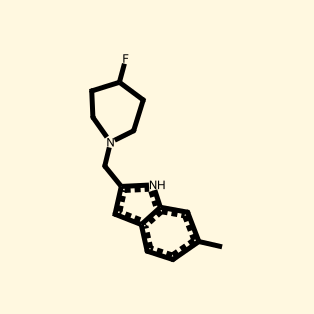 Cc1ccc2cc(CN3CCC(F)CC3)[nH]c2c1